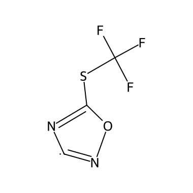 FC(F)(F)Sc1n[c]no1